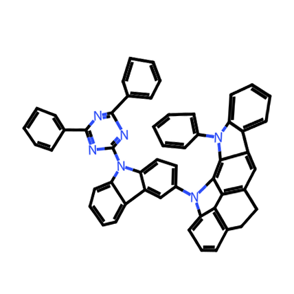 c1ccc(-c2nc(-c3ccccc3)nc(-n3c4ccccc4c4cc(-n5c6cccc7c6c6c(cc8c9ccccc9n(-c9ccccc9)c8c65)CC7)ccc43)n2)cc1